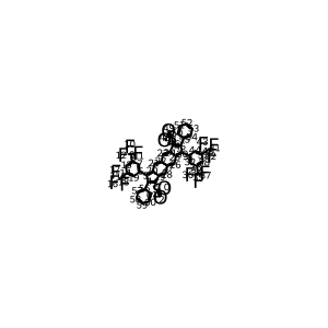 O=S1(=O)C2=C(C(c3cc(C(F)(F)F)cc(C(F)(F)F)c3)=c3cc4cc5c(cc4cc32)=C(c2cc(C(F)(F)F)cc(C(F)(F)F)c2)C2=C5S(=O)(=O)c3ccccc32)c2ccccc21